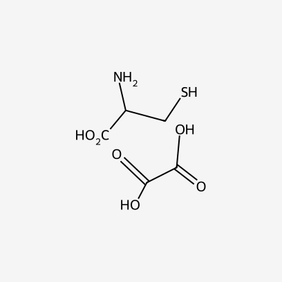 NC(CS)C(=O)O.O=C(O)C(=O)O